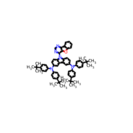 CC(C)(C)c1ccc(N(c2ccc(C(C)(C)C)cc2)c2ccc3c(c2)c2cc(N(c4ccc(C(C)(C)C)cc4)c4ccc(C(C)(C)C)cc4)ccc2n3-c2ncnc3c2oc2ccccc23)cc1